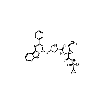 C=CC1C[C@]1(NC(=O)C1C[C@@H](Oc2cc(-c3ccccc3)nc3c4ccccc4nn23)CN1)C(=O)NS(=O)(=O)C1CC1